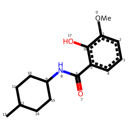 COc1cccc(C(=O)NC2CCC(C)CC2)c1O